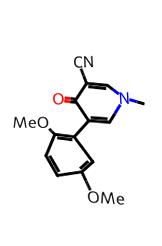 COc1ccc(OC)c(-c2cn(C)cc(C#N)c2=O)c1